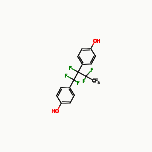 Oc1ccc(C(F)(F)C(F)(c2ccc(O)cc2)C(F)(F)C(F)(F)F)cc1